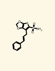 NS(=O)(=O)c1sc2c(c1CC=Cc1ccccc1)OCO2